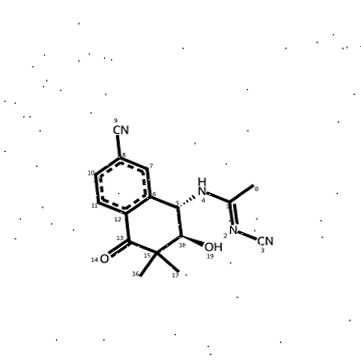 CC(=NC#N)N[C@H]1c2cc(C#N)ccc2C(=O)C(C)(C)[C@@H]1O